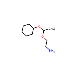 NCCOC(C=O)OC1CCCCC1